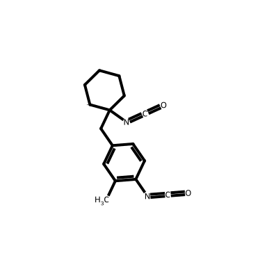 Cc1cc(CC2(N=C=O)[CH]CCCC2)ccc1N=C=O